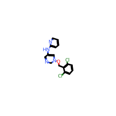 Clc1cccc(Cl)c1CON1C=C(Nc2ccccn2)C=NC1